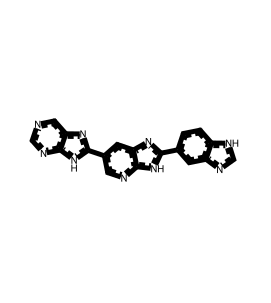 c1ncc2nc(-c3cnc4[nH]c(-c5ccc6[nH]cnc6c5)nc4c3)[nH]c2n1